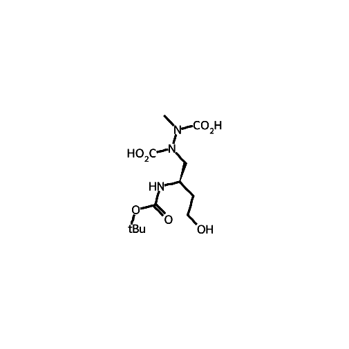 CN(C(=O)O)N(C[C@@H](CCO)NC(=O)OC(C)(C)C)C(=O)O